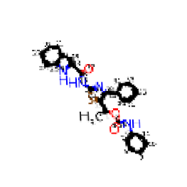 CC(OC(=O)Nc1ccccc1)c1sc(NC(=O)c2cc3ccccc3[nH]2)nc1-c1ccccc1